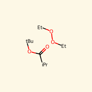 CC(C)C(=O)OC(C)(C)C.CCOOCC